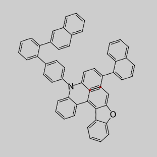 c1ccc(-c2ccc3ccccc3c2)c(-c2ccc(N(c3ccc(-c4cccc5ccccc45)cc3)c3ccccc3-c3cccc4oc5ccccc5c34)cc2)c1